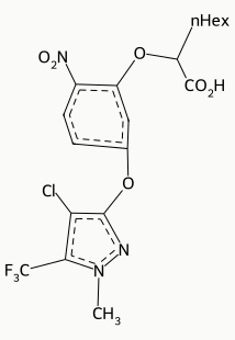 CCCCCCC(Oc1cc(Oc2nn(C)c(C(F)(F)F)c2Cl)ccc1[N+](=O)[O-])C(=O)O